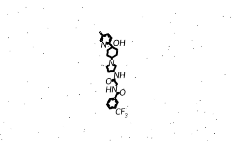 Cc1ccc(C2(O)CCC(N3C[C@H](NC(=O)CNC(=O)c4cccc(C(F)(F)F)c4)C[C@@H]3C)CC2)nc1